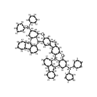 c1ccc(N(c2ccccc2)c2cc3c4c(c2)-n2c5ccccc5c5cccc(c52)B4c2cc4c(cc2O3)sc2cc3c(cc24)B2c4c(cc(N(c5ccccc5)c5ccccc5)cc4-n4c5ccccc5c5cccc2c54)O3)cc1